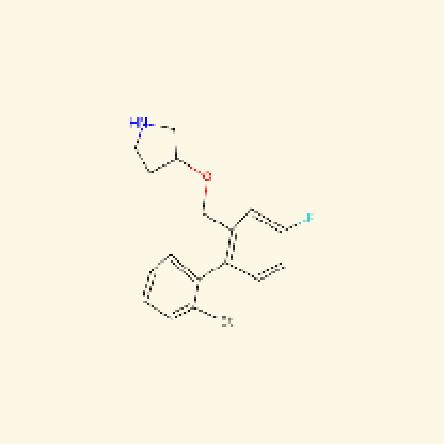 CCc1ccccc1-c1ccc(F)cc1COC1CCNC1